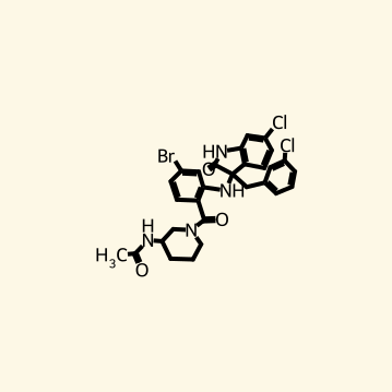 CC(=O)NC1CCCN(C(=O)c2ccc(Br)cc2NC2(Cc3cccc(Cl)c3)C(=O)Nc3cc(Cl)ccc32)C1